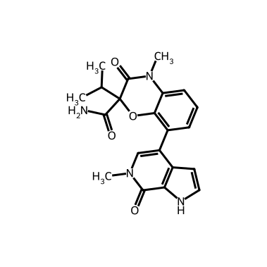 CC(C)C1(C(N)=O)Oc2c(-c3cn(C)c(=O)c4[nH]ccc34)cccc2N(C)C1=O